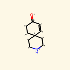 O=C1C=CC2(CCNCC2)CC1